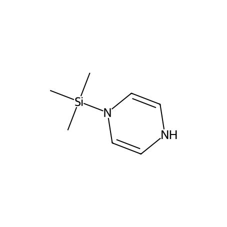 C[Si](C)(C)N1C=CNC=C1